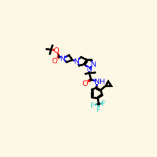 CC(C)(C)OC(=O)N1CC(N2Cc3cnn(C(C)(C)C(=O)Nc4ccc(C(F)(F)F)cc4C4CC4)c3C2)C1